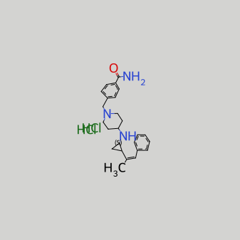 CC(=Cc1ccccc1)C1C[C@@H]1NC1CCN(Cc2ccc(C(N)=O)cc2)CC1.Cl.Cl